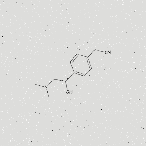 CN(C)CC(O)c1ccc(CC#N)cc1